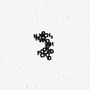 Cc1c(F)cccc1Cc1c(-c2ccccc2)c2ccccn2c1C(=O)N1CCN[C@@H](CC(=O)NCC(C)(C)C(N)=O)C1